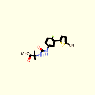 COC(=O)C(C)(C)NC(=O)Nc1ccc(F)c(-c2ccc(C#N)s2)c1